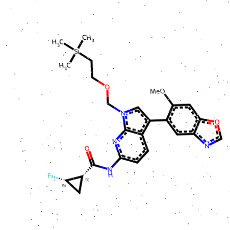 COc1cc2ocnc2cc1-c1cn(COCC[Si](C)(C)C)c2nc(NC(=O)[C@@H]3C[C@@H]3F)ccc12